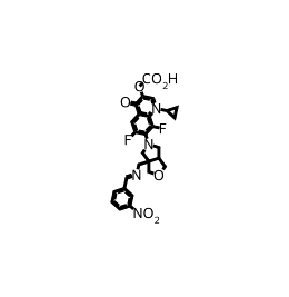 O=C(O)Oc1cn(C2CC2)c2c(F)c(N3CC4COCC4(CN=Cc4cccc([N+](=O)[O-])c4)C3)c(F)cc2c1=O